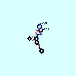 CCOC(=O)N1CCN(C(=O)C(CCC(=O)O)NC(=O)c2cc(OC3(C(=O)O)CCC3)c3ccc(OCc4ccccc4)cc3n2)CC1